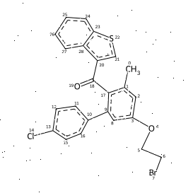 Cc1cc(OCCBr)cc(-c2ccc(Cl)cc2)c1C(=O)c1csc2ccccc12